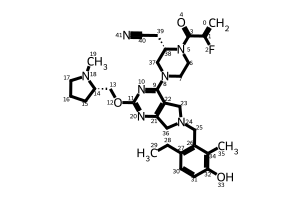 C=C(F)C(=O)N1CCN(c2nc(OC[C@@H]3CCCN3C)nc3c2CN(Cc2c(CC)ccc(O)c2C)C3)C[C@@H]1CC#N